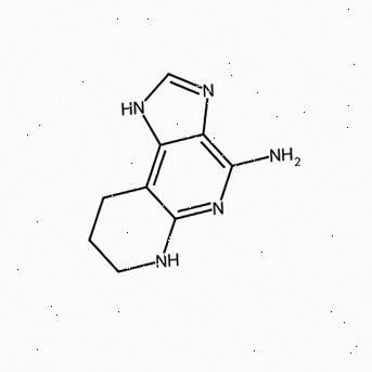 Nc1nc2c(c3[nH]cnc13)CCCN2